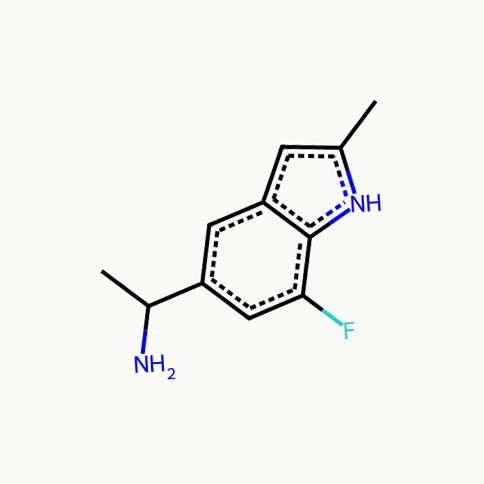 Cc1cc2cc(C(C)N)cc(F)c2[nH]1